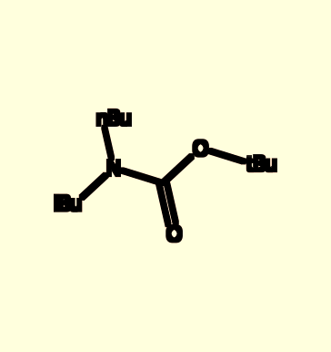 CCCCN(C(=O)OC(C)(C)C)C(C)CC